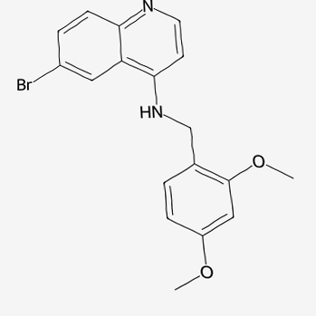 COc1ccc(CNc2ccnc3ccc(Br)cc23)c(OC)c1